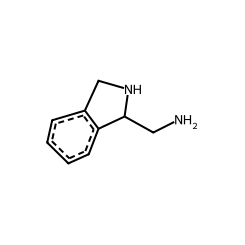 NCC1NCc2ccccc21